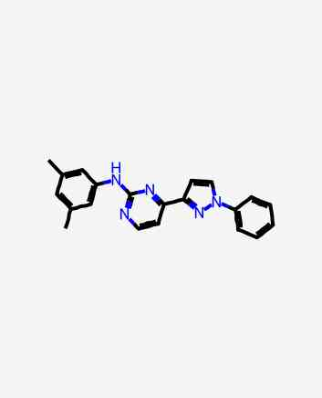 Cc1cc(C)cc(Nc2nccc(-c3ccn(-c4ccccc4)n3)n2)c1